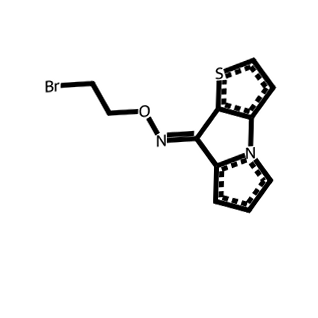 BrCCON=C1c2sccc2-n2cccc21